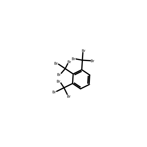 BrC(Br)(Br)c1c[c]cc(C(Br)(Br)Br)c1C(Br)(Br)Br